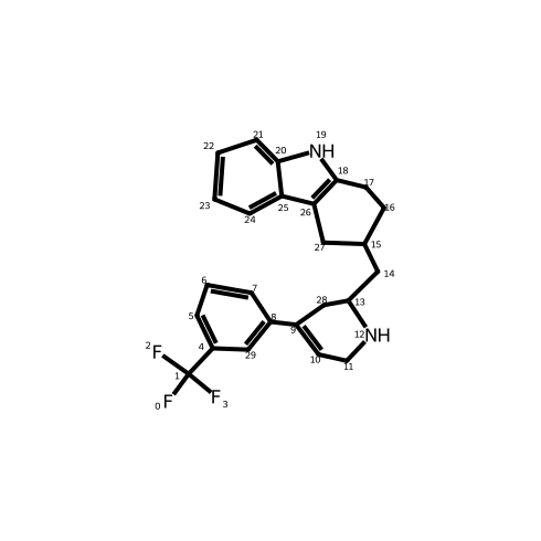 FC(F)(F)c1cccc(C2=CCNC(CC3CCc4[nH]c5ccccc5c4C3)C2)c1